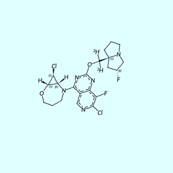 [2H]C([2H])(Oc1nc(N2CCCO[C@@H]3[C@@H](Cl)[C@@H]32)c2cnc(Cl)c(F)c2n1)[C@@]12CCCN1C[C@H](F)C2